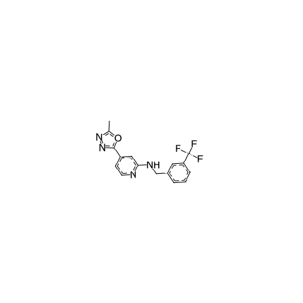 Cc1nnc(-c2ccnc(NCc3cccc(C(F)(F)F)c3)c2)o1